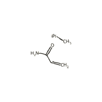 C=CC(N)=O.C[C](C)C